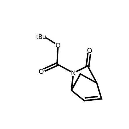 CC(C)(C)OC(=O)N1C(=O)C2C=CC1C2